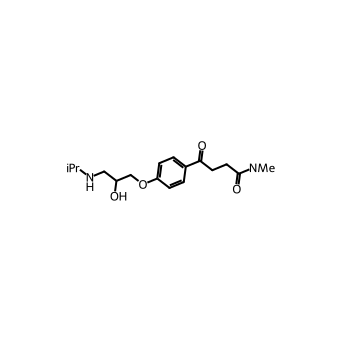 CNC(=O)CCC(=O)c1ccc(OCC(O)CNC(C)C)cc1